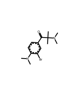 CN(C)c1ccc(C(=O)C(C)(C)N(C)C)cc1Br